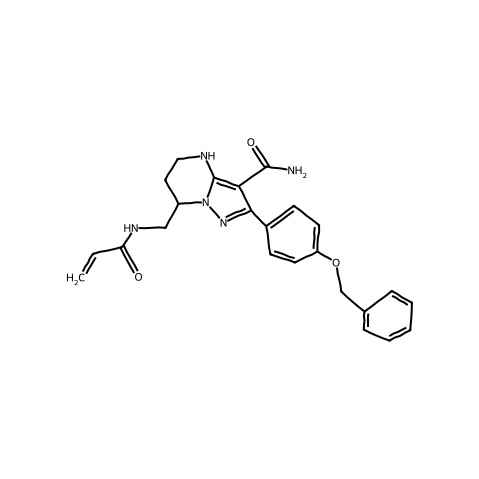 C=CC(=O)NCC1CCNc2c(C(N)=O)c(-c3ccc(OCc4ccccc4)cc3)nn21